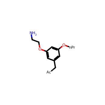 CCCOc1cc(CC(C)=O)cc(OCCN)c1